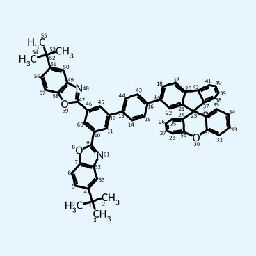 CC(C)(C)c1ccc2oc(-c3cc(-c4ccc(-c5ccc6c(c5)C5(c7ccccc7Oc7ccccc75)c5ccccc5-6)cc4)cc(-c4nc5cc(C(C)(C)C)ccc5o4)c3)nc2c1